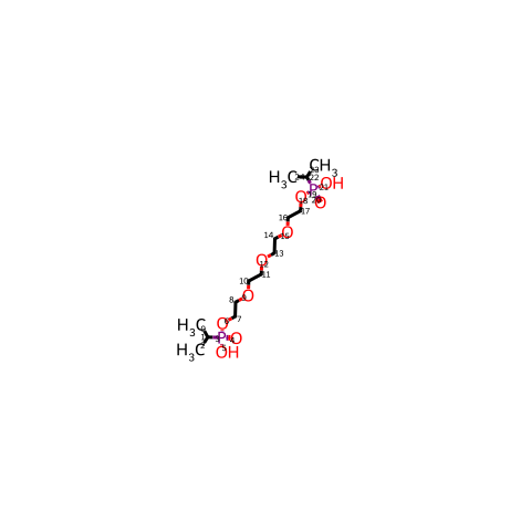 CC(C)P(=O)(O)OCCOCCOCCOCCOP(=O)(O)C(C)C